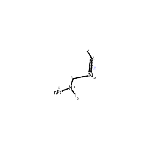 C/C=N\CN(I)CCC